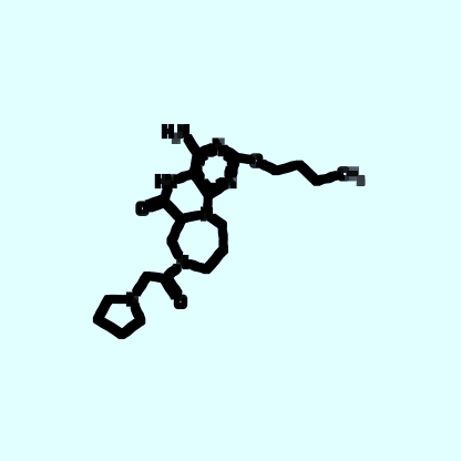 CCCCOc1nc(N)c2c(n1)N1CCCN(C(=O)CN3CCCC3)CC1C(=O)N2